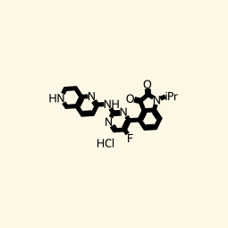 CC(C)N1C(=O)C(=O)c2c(-c3nc(Nc4ccc5c(n4)CCNC5)ncc3F)cccc21.Cl